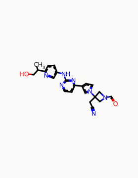 CC(CO)c1ccc(Nc2nccc(-c3ccn(C4(CC#N)CN(C=O)C4)c3)n2)cn1